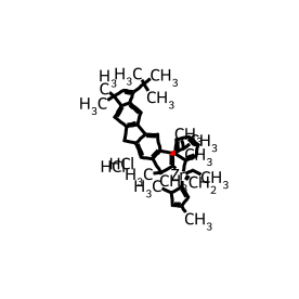 Cl.Cl.[CH2]=[Zr]([CH2]C)([C]1=CC(C)=CC1C)([C]1=C(C(C)(C)C)c2cc3c(cc2C1(C)C)Cc1cc2c(cc1-3)C(C(C)(C)C)=CC2(C)C)[c]1ccccc1